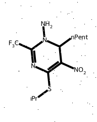 CCCCCC1C([N+](=O)[O-])=C(SC(C)C)N=C(C(F)(F)F)N1N